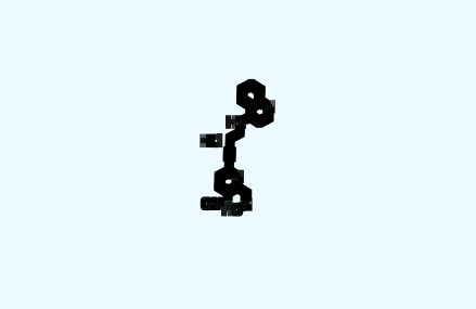 COc1ccc(C#CCCNc2ccnc3ccccc23)nc1/C=N\O.Cl